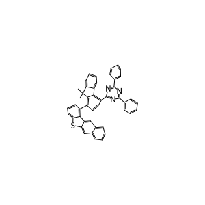 CC1(C)c2ccccc2-c2c(-c3nc(-c4ccccc4)nc(-c4ccccc4)n3)ccc(-c3cccc4sc5cc6ccccc6cc5c34)c21